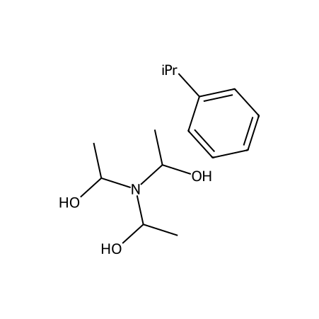 CC(C)c1ccccc1.CC(O)N(C(C)O)C(C)O